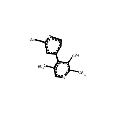 COc1c(C)ncc(C(=O)O)c1-c1ccnc(C(C)=O)c1